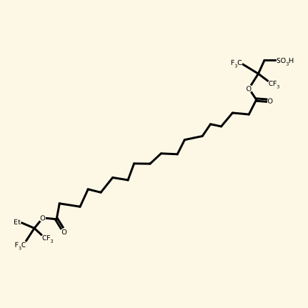 CCC(OC(=O)CCCCCCCCCCCCCCCCC(=O)OC(CS(=O)(=O)O)(C(F)(F)F)C(F)(F)F)(C(F)(F)F)C(F)(F)F